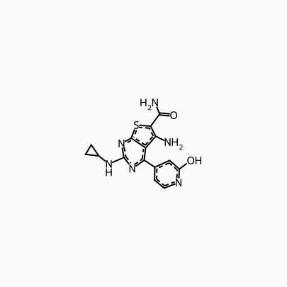 NC(=O)c1sc2nc(NC3CC3)nc(-c3ccnc(O)c3)c2c1N